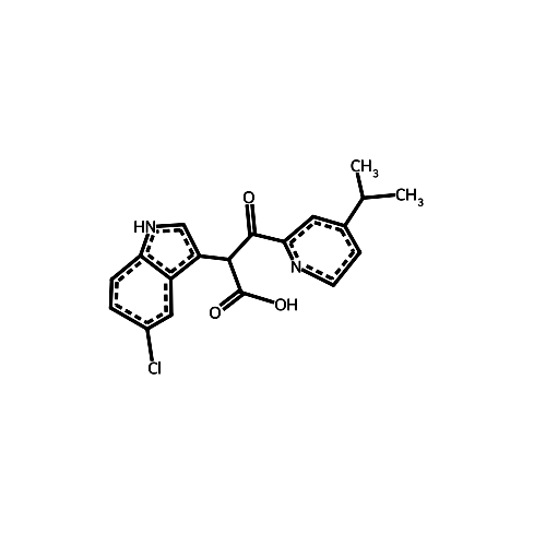 CC(C)c1ccnc(C(=O)C(C(=O)O)c2c[nH]c3ccc(Cl)cc23)c1